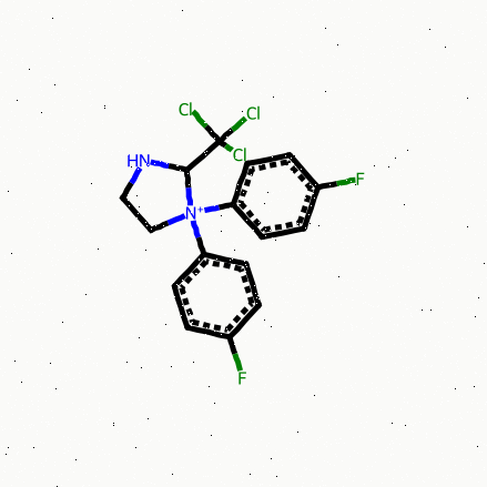 Fc1ccc([N+]2(c3ccc(F)cc3)CCNC2C(Cl)(Cl)Cl)cc1